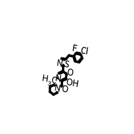 Cn1cc(-c2ncc(Cc3cccc(Cl)c3F)s2)c(=O)c(O)c1C(=O)N1CCCCC1